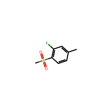 Cc1ccc(S(C)(=O)=O)c(F)c1